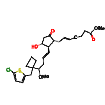 COC(=O)CCCC=CC[C@H]1C(=O)C[C@@H](O)[C@@H]1C=CCC(OC)C1(Cc2ccc(Cl)s2)CCC1